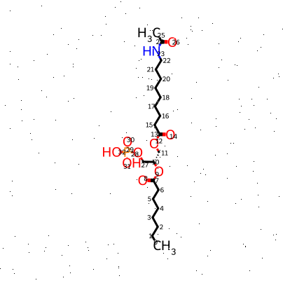 CCCCCCCC(=O)O[C@@H](COC(=O)CCCCCCCCNC(C)=O)COP(=O)(O)O